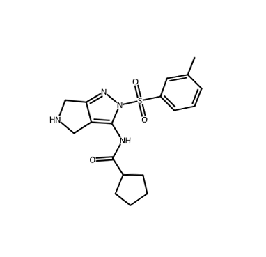 Cc1cccc(S(=O)(=O)n2nc3c(c2NC(=O)C2CCCC2)CNC3)c1